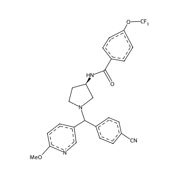 COc1ccc(C(c2ccc(C#N)cc2)N2CC[C@@H](NC(=O)c3ccc(OC(F)(F)F)cc3)C2)cn1